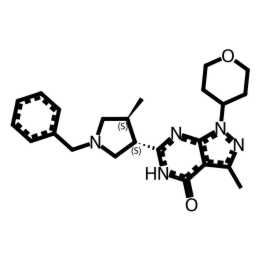 Cc1nn(C2CCOCC2)c2nc([C@@H]3CN(Cc4ccccc4)C[C@H]3C)[nH]c(=O)c12